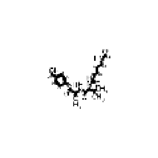 CC(NC(=O)[C@@H](NC(=O)CCCCNC=O)C(C)C)C(=O)Nc1ccc(CO)cc1